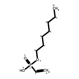 C=CP(=O)(O)OCCCCCCC